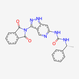 C[C@@H](NC(=O)Nc1cc2[nH]nc(N3C(=O)c4ccccc4C3=O)c2cn1)c1ccccc1